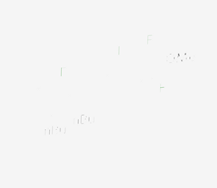 CCCCc1c(-c2ccc(-c3cc(F)c(OC)c(F)c3F)cc2)c(F)c2ccccc2c1CCCC